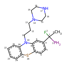 CC(F)(P)c1ccc2c(c1)N(CCCN1CCNCC1)c1ccccc1S2